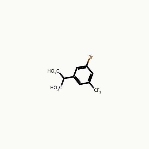 O=C(O)C(C(=O)O)c1cc(Br)cc(C(F)(F)F)c1